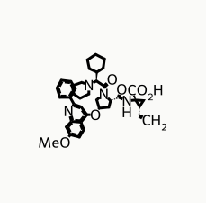 C=C[C@H]1C[C@]1(NC(=O)[C@@H]1C[C@@H](Oc2cc(-c3ccccc3)nc3cc(OC)ccc23)CN1C(=O)[C@H](C1CCCCC1)N1CCCCC1)C(=O)O